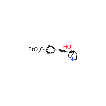 CCOC(=O)c1ccc(C#CC2(O)CN3CCC2CC3)cc1